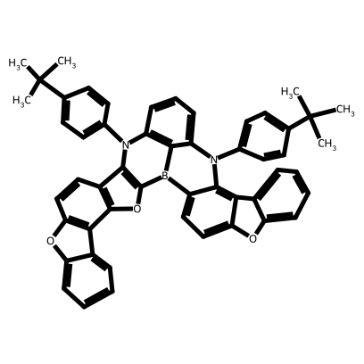 CC(C)(C)c1ccc(N2c3cccc4c3B(c3ccc5oc6ccccc6c5c3N4c3ccc(C(C)(C)C)cc3)c3oc4c(ccc5oc6ccccc6c54)c32)cc1